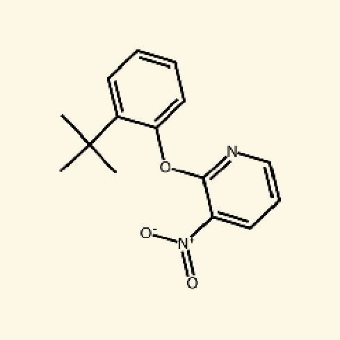 CC(C)(C)c1ccccc1Oc1ncccc1[N+](=O)[O-]